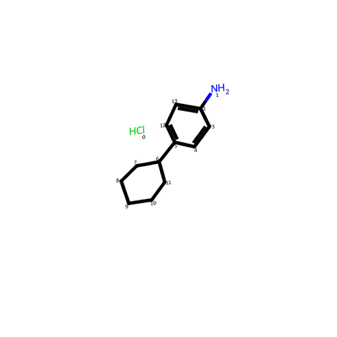 Cl.Nc1ccc(C2CCCCC2)cc1